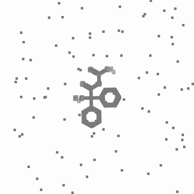 CS(=O)OC(=O)C(C)(c1ccccc1)c1ccccc1